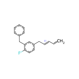 C=C/C=C/Cc1ccc(F)c(Cc2ccccc2)c1